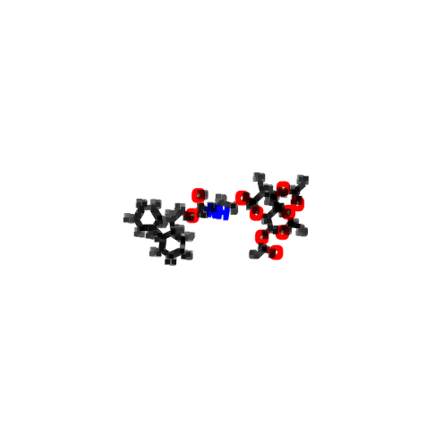 CC(=O)OCC1O[C@@H](OCCNC(=O)OCC2c3ccccc3-c3ccccc32)C(C)[C@@H](OC(C)=O)[C@H]1OC(C)=O